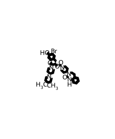 CC1(C)CCN(C2CCN(C(=O)[C@@H](Cc3ccc(O)c(Br)c3)OC(=O)N3CCC(N4CCc5ccccc5NC4=O)CC3)CC2)CC1